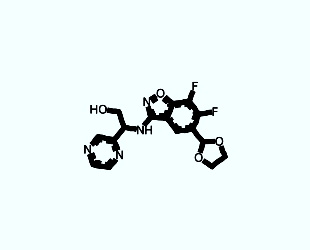 OCC(Nc1noc2c(F)c(F)c(C3OCCO3)cc12)c1cnccn1